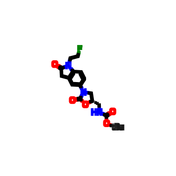 CC(C)(C)OC(=O)NC[C@H]1CN(c2ccc3c(c2)CC(=O)N3CCF)C(=O)O1